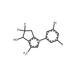 CC(=O)c1cc(F)cc(-n2cc(C(F)(F)F)c3c2CC(F)(F)C3O)c1